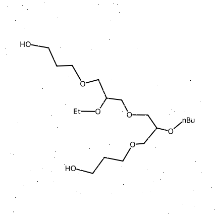 CCCCOC(COCCCO)COCC(COCCCO)OCC